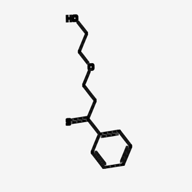 OCCOCCC(=S)c1ccccc1